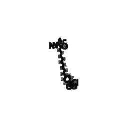 CC(=O)C(=[N+]=[N-])C(=O)CCCCCCCCCc1ccc(S(=O)(=O)Cl)cc1